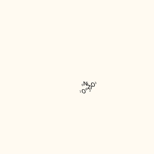 [Ni].[O]=[Zr]=[O]